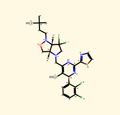 CCOC(=O)C1=C(CN2CC(F)(F)[C@@H]3[C@H]2CON3CCC(C)(C)C(=O)O)NC(c2nccs2)=N[C@H]1c1cccc(F)c1F